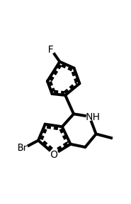 CC1Cc2oc(Br)cc2C(c2ccc(F)cc2)N1